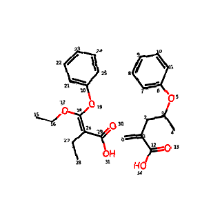 C=C(CC(C)Oc1ccccc1)C(=O)O.CCOC(Oc1ccccc1)=C(CC)C(=O)O